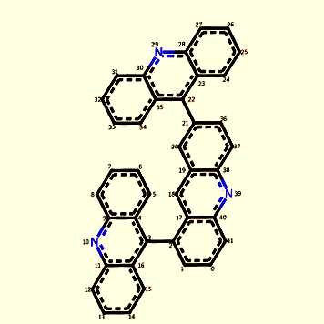 c1cc(-c2c3ccccc3nc3ccccc23)c2cc3cc(-c4c5ccccc5nc5ccccc45)ccc3nc2c1